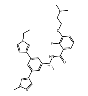 CCn1ccc(-c2cc(-c3cnn(C)c3)cc([C@@H](C)NC(=O)c3cccc(OCCN(C)C)c3F)c2)n1